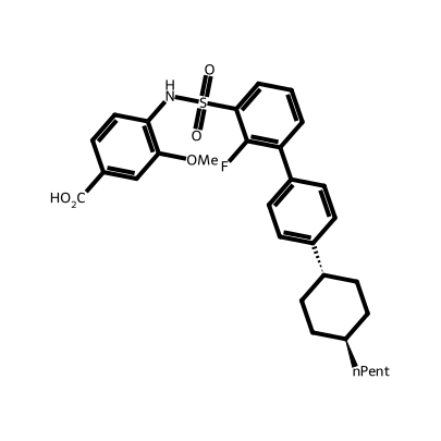 CCCCC[C@H]1CC[C@H](c2ccc(-c3cccc(S(=O)(=O)Nc4ccc(C(=O)O)cc4OC)c3F)cc2)CC1